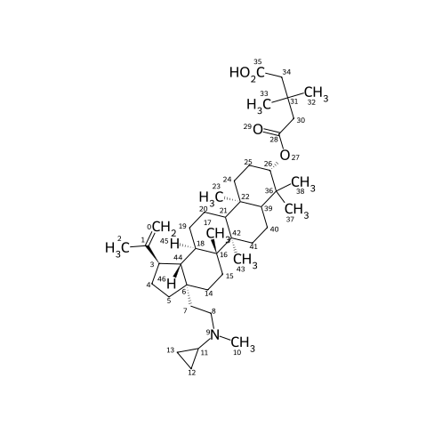 C=C(C)[C@@H]1CC[C@]2(CCN(C)C3CC3)CC[C@]3(C)[C@H](CCC4[C@@]5(C)CC[C@H](OC(=O)CC(C)(C)CC(=O)O)C(C)(C)C5CC[C@]43C)[C@@H]12